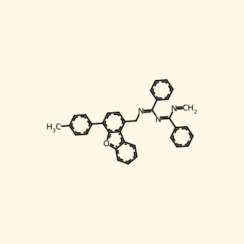 C=N/C(=N\C(=N/Cc1ccc(-c2ccc(C)cc2)c2oc3ccccc3c12)c1ccccc1)c1ccccc1